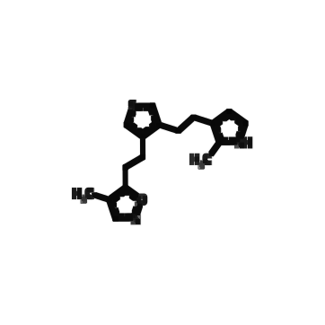 Cc1cnoc1CCc1cscc1CCc1cc[nH]c1C